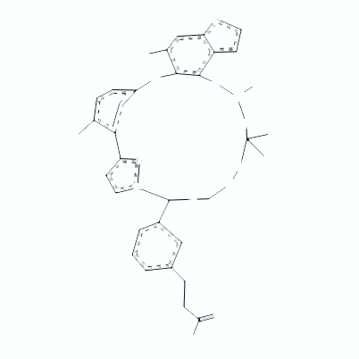 CC1(C)COCCC(c2cccc(CCC(=O)O)c2)n2ccc(n2)-c2cc(ccc2F)Oc2c(F)cc3[nH]ccc3c2C[S+]([O-])C1